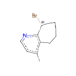 Cc1ccnc2c1CCC[C@H]2Br